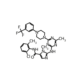 Cc1nc(Nc2ncc(C(=O)Nc3c(C)cccc3Cl)n2C)nc(N2CCN(c3cccc(C(F)(F)F)c3)CC2)n1